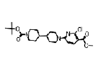 COC(=O)c1ccc(N2CCC(C3CCN(C(=O)OC(C)(C)C)CC3)CC2)nc1Cl